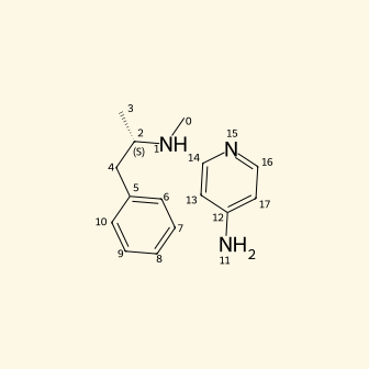 CN[C@@H](C)Cc1ccccc1.Nc1ccncc1